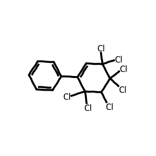 ClC1C(Cl)(Cl)C(c2ccccc2)=CC(Cl)(Cl)C1(Cl)Cl